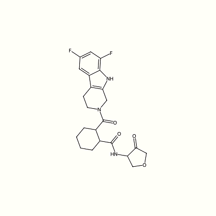 O=C1COCC1NC(=O)C1CCCCC1C(=O)N1CCc2c([nH]c3c(F)cc(F)cc23)C1